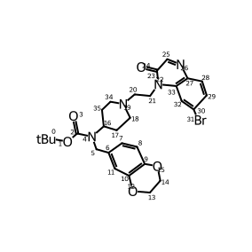 CC(C)(C)OC(=O)N(Cc1ccc2c(c1)OCCO2)C1CCN(CCn2c(=O)cnc3ccc(Br)cc32)CC1